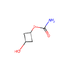 NC(=O)OC1CC(O)C1